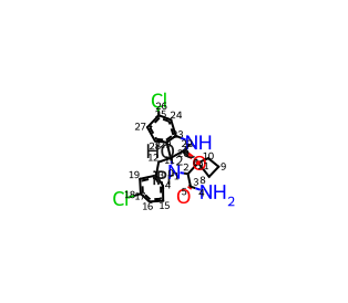 CC(C)N(C(C(N)=O)C1(C(=O)O)CCC1)C1(Cc2cccc(Cl)c2)C(=O)Nc2cc(Cl)ccc21